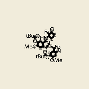 COc1cc2ncnc(Cl)c2cc1OC(=O)C(C)(C)C.COc1cc2ncnc(Nc3cccc(Cl)c3F)c2cc1OC(=O)C(C)(C)C